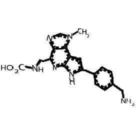 Cn1cnc2c(CNC(=O)O)nc3[nH]c(-c4ccc(CN)cc4)cc3c21